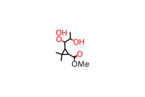 COC(=O)C1C(C(OO)C(C)O)C1(C)C